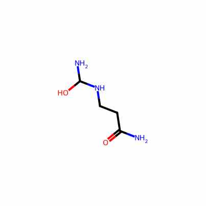 NC(=O)CCNC(N)O